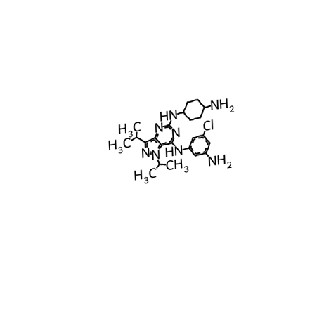 CC(C)c1nn(C(C)C)c2c(Nc3cc(N)cc(Cl)c3)nc(NC3CCC(N)CC3)nc12